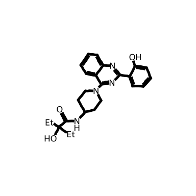 CCC(O)(CC)C(=O)NC1CCN(c2nc(-c3ccccc3O)nc3ccccc23)CC1